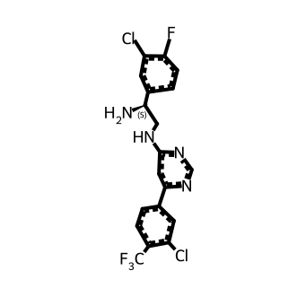 N[C@H](CNc1cc(-c2ccc(C(F)(F)F)c(Cl)c2)ncn1)c1ccc(F)c(Cl)c1